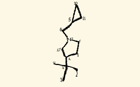 CC(C)(C)C1CCN(CC2CC2)C1